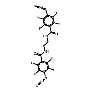 [N-]=[N+]=Nc1c(F)c(F)c(C(=O)NCCNC(=O)c2c(F)c(F)c(N=[N+]=[N-])c(F)c2F)c(F)c1F